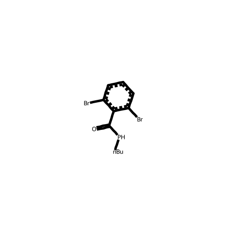 CCCCPC(=O)c1c(Br)cccc1Br